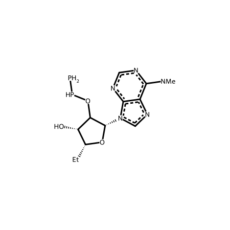 CC[C@H]1O[C@@H](n2cnc3c(NC)ncnc32)C(OPP)[C@H]1O